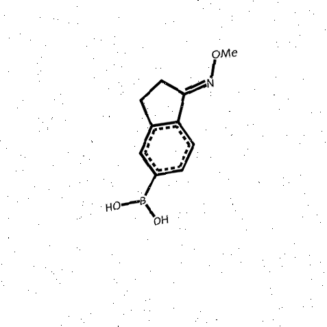 CO/N=C1\CCc2cc(B(O)O)ccc21